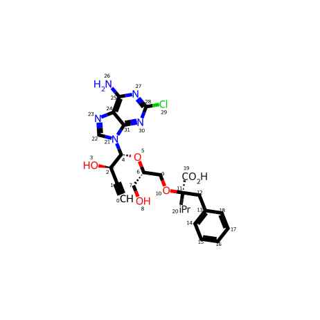 C#C[C@@H](O)[C@@H](O[C@@H](CO)CO[C@](Cc1ccccc1)(C(=O)O)C(C)C)n1cnc2c(N)nc(Cl)nc21